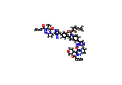 COC(=O)N[C@H](C(=O)N1CCC[C@H]1c1ncc(-c2ccc3c(c2)OC(c2ccc(C4CC4)s2)n2c-3cc3cc(-c4cnc([C@@H]5CCCN5C(=O)[C@@H](NC(=O)OC)C5CCOCC5)[nH]4)ccc32)[nH]1)C(C)C